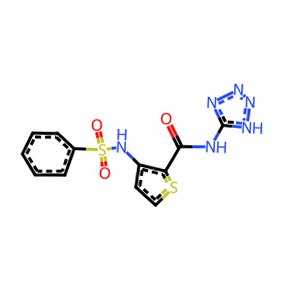 O=C(Nc1nnn[nH]1)c1sccc1NS(=O)(=O)c1ccccc1